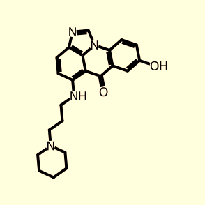 O=c1c2cc(O)ccc2n2cnc3ccc(NCCCN4CCCCC4)c1c32